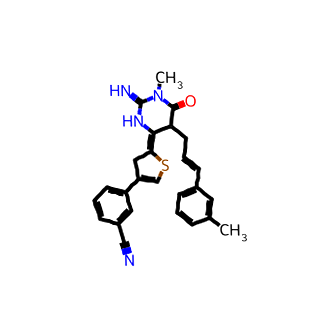 Cc1cccc(/C=C/CC2C(=O)N(C)C(=N)N/C2=C2\CC(c3cccc(C#N)c3)=CS2)c1